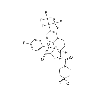 O=CC1C[C@@H](C(=O)N2CCS(=O)(=O)CC2)[C@@H]2CCc3cc(C(F)(C(F)(F)F)C(F)(F)F)ccc3[C@@]12S(=O)(=O)c1ccc(F)cc1